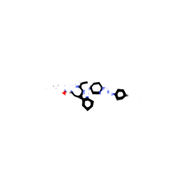 COC(=O)[C@H]1Cc2c3n(c4ccccc24)[C@@]2(C=C/C(=N\Nc4ccc(C(F)(F)F)cc4)CC2)CC[C@H]3N1